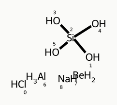 Cl.O[Si](O)(O)O.[AlH3].[BeH2].[NaH]